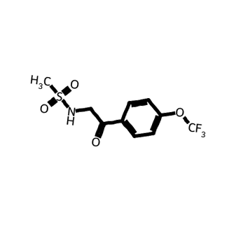 CS(=O)(=O)NCC(=O)c1ccc(OC(F)(F)F)cc1